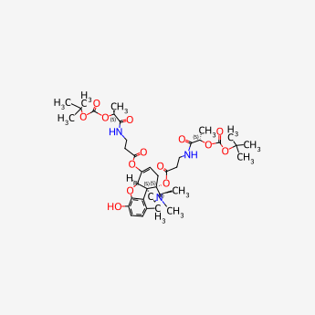 Cc1ccc(O)c2c1[C@]13CCN(C)[C@H](C)[C@]1(OC(=O)CCNC(=O)[C@H](C)OC(=O)OC(C)(C)C)CC=C(OC(=O)CCNC(=O)[C@H](C)OC(=O)OC(C)(C)C)[C@@H]3O2